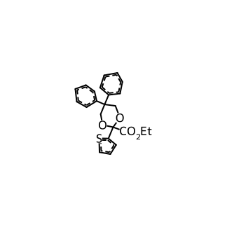 CCOC(=O)C1(c2cccs2)OCC(c2ccccc2)(c2ccccc2)CO1